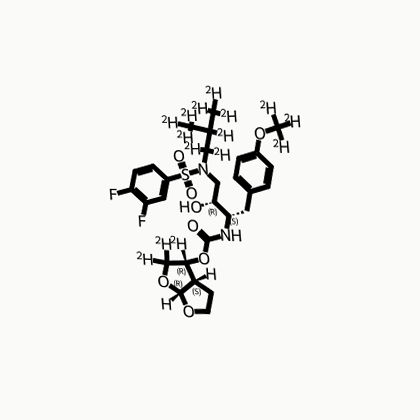 [2H]C([2H])([2H])Oc1ccc(C[C@H](NC(=O)O[C@]2([2H])[C@@H]3CCO[C@@H]3OC2([2H])[2H])[C@H](O)CN(C([2H])([2H])C([2H])(C([2H])([2H])[2H])C([2H])([2H])[2H])S(=O)(=O)c2ccc(F)c(F)c2)cc1